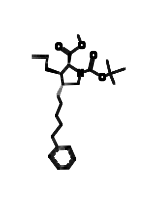 C=CC[C@@H]1[C@@H](CCCCCc2ccccc2)CN(C(=O)OC(C)(C)C)[C@@H]1C(=O)OC